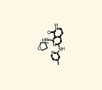 Cc1ccnc(Nc2cc3cc[nH]c(=O)c3c(N[C@@H]3CCOC3)n2)c1